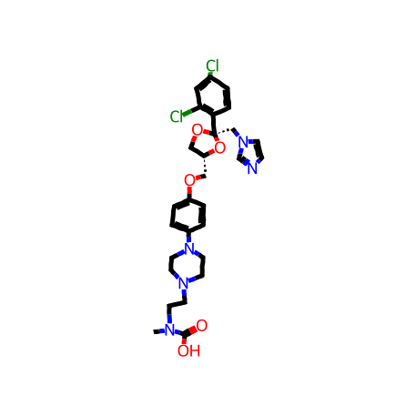 CN(CCN1CCN(c2ccc(OC[C@@H]3CO[C@@](Cn4ccnc4)(c4ccc(Cl)cc4Cl)O3)cc2)CC1)C(=O)O